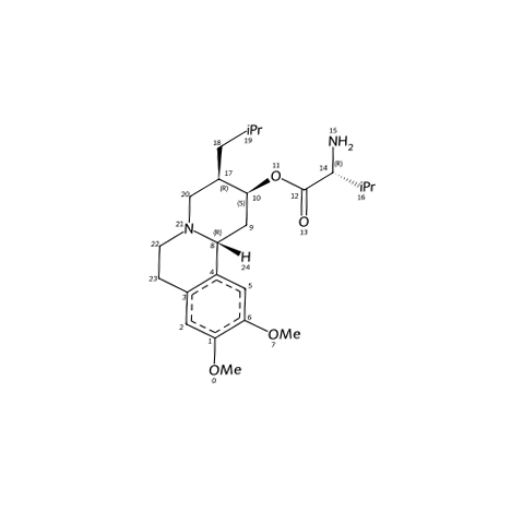 COc1cc2c(cc1OC)[C@H]1C[C@H](OC(=O)[C@H](N)C(C)C)[C@H](CC(C)C)CN1CC2